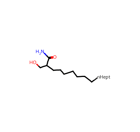 CCCCCCCCCCCCCCC(CO)C(N)=O